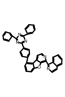 c1ccc(-c2nc(-c3ccccc3)nc(-c3ccc(-c4cccc5oc6c(-c7nccc8ccccc78)nccc6c45)cc3)n2)cc1